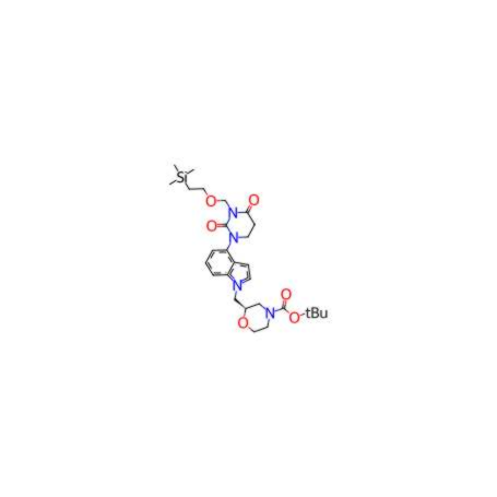 CC(C)(C)OC(=O)N1CCO[C@@H](Cn2ccc3c(N4CCC(=O)N(COCC[Si](C)(C)C)C4=O)cccc32)C1